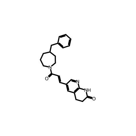 O=C1CCc2cc(/C=C/C(=O)N3CCCC(Cc4ccccc4)CC3)cnc2N1